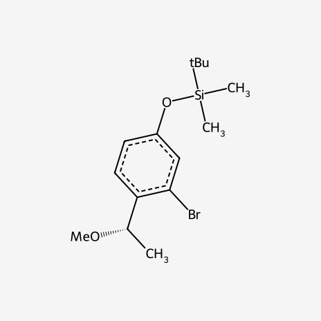 CO[C@@H](C)c1ccc(O[Si](C)(C)C(C)(C)C)cc1Br